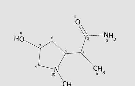 CC(C(N)=O)C1CC(O)CN1C